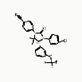 CC1(C)[C@@H](c2cccc(OC(F)(F)F)c2)N(c2ccc(Cl)cc2)C(=O)N1c1ccc(C#N)cc1